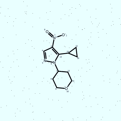 O=[N+]([O-])c1cnn(C2CCOCC2)c1C1CC1